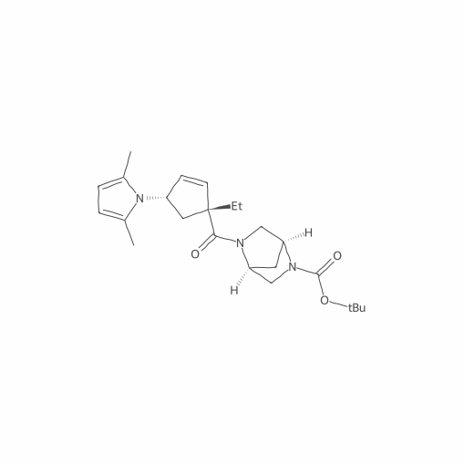 CC[C@]1(C(=O)N2C[C@@H]3C[C@H]2CN3C(=O)OC(C)(C)C)C=C[C@@H](n2c(C)ccc2C)C1